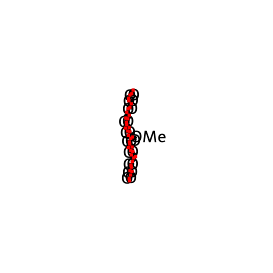 C=CC(=O)OCC(C)OC(=O)CCC(=O)OCCc1ccc(OC(=O)C2CCC(C(=O)Oc3ccc(OC(=O)C4CCC(C(=O)Oc5ccc(CCOC(=O)CCC(=O)OC(C)COC(=O)C=C)cc5)CC4)c(C(=O)OC)c3)CC2)cc1